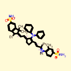 CCC1/C(=C/C=C2\CCC(/C=C/C(C(C)C)=[N+](\CC)c3ccc(S(N)(=O)=O)cc3C)=C2N(c2ccccc2)c2ccccc2)C(C)(C)c2cc(S(N)(=O)=O)ccc21